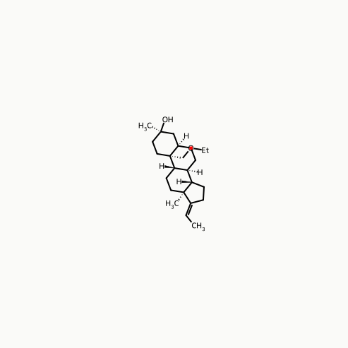 CC=C1CC[C@H]2[C@@H]3CC[C@@H]4C[C@](C)(O)CC[C@]4(COCC)[C@H]3CC[C@]12C